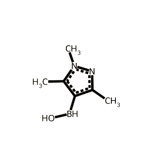 Cc1nn(C)c(C)c1BO